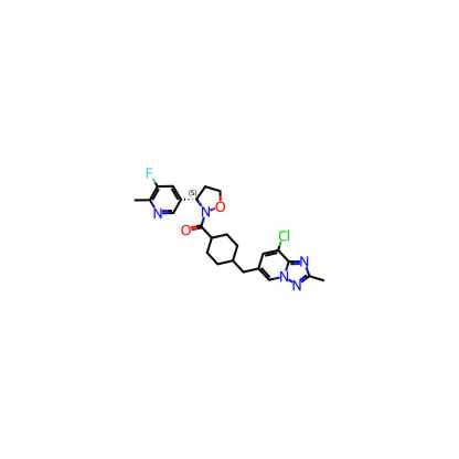 Cc1nc2c(Cl)cc(CC3CCC(C(=O)N4OCC[C@H]4c4cnc(C)c(F)c4)CC3)cn2n1